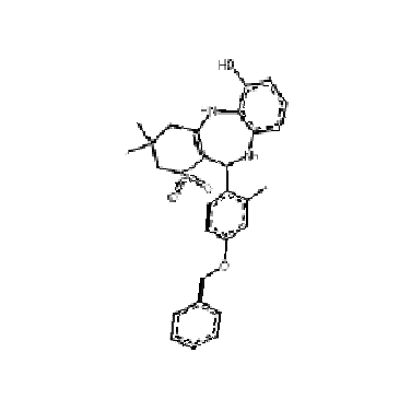 Cc1cc(OCc2ccccc2)ccc1C1Nc2cccc(O)c2NC2=C1S(=O)(=O)CC(C)(C)C2